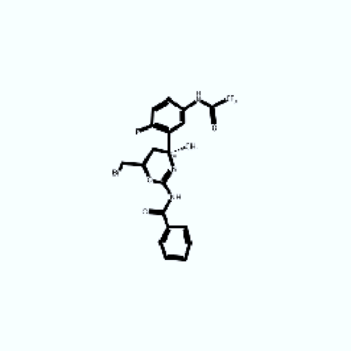 C[C@@]1(c2cc(NC(=O)C(F)(F)F)ccc2F)CC(CBr)OC(NC(=O)c2ccccc2)=N1